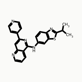 CC(C)c1nc2ccc(Nc3nc(-c4ccncc4)cc4ncccc34)cc2s1